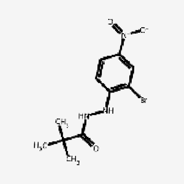 CC(C)(C)C(=O)NNc1ccc([N+](=O)[O-])cc1Br